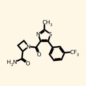 Cc1nc(C(=O)N2CCC2C(N)=O)c(-c2cccc(C(F)(F)F)c2)s1